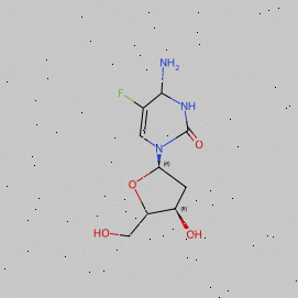 NC1NC(=O)N([C@H]2C[C@@H](O)C(CO)O2)C=C1F